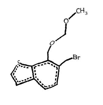 COCOc1c(Br)ccc2ccsc12